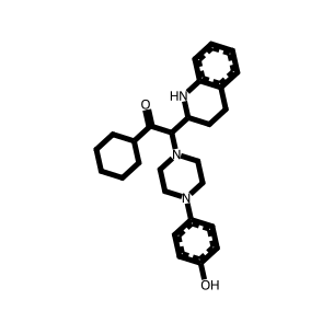 O=C(C1CCCCC1)C(C1CCc2ccccc2N1)N1CCN(c2ccc(O)cc2)CC1